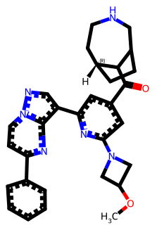 COC1CN(c2cc(C(=O)C3C4CC[C@@H]3CCNC4)cc(-c3cnn4ccc(-c5ccccc5)nc34)n2)C1